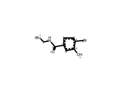 CC(C)(C)CNC(=O)c1ccc(Br)c(O)c1